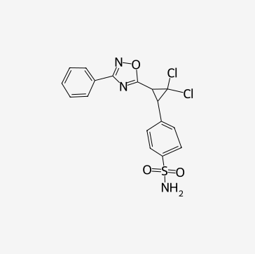 NS(=O)(=O)c1ccc(C2C(c3nc(-c4ccccc4)no3)C2(Cl)Cl)cc1